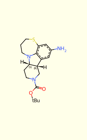 CC(C)(C)OC(=O)N1CC[C@H]2[C@@H](C1)c1cc(N)cc3c1N2CCCS3